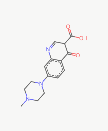 CN1CCN(c2ccc3c(c2)N=CC(C(=O)O)C3=O)CC1